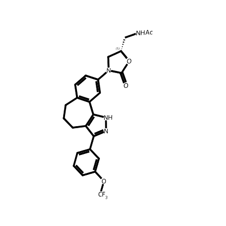 CC(=O)NC[C@H]1CN(c2ccc3c(c2)-c2[nH]nc(-c4cccc(OC(F)(F)F)c4)c2CCC3)C(=O)O1